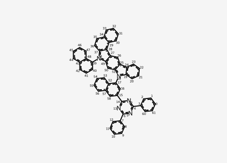 c1ccc(-c2nc(-c3ccccc3)nc(-c3cc(-n4c5ccccc5c5cc6c7c8ccccc8ccc7n(-c7cccc8ccccc78)c6cc54)c4ccccc4c3)n2)cc1